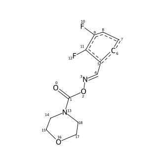 O=C(ON=Cc1cccc(F)c1F)N1CCOCC1